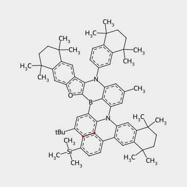 Cc1cc2c3c(c1)N(c1ccc4c(c1)C(C)(C)CCC4(C)C)c1c(oc4cc5c(cc14)C(C)(C)CCC5(C)C)B3c1cc(C(C)(C)C)ccc1N2c1cc2c(cc1-c1ccc([Si](C)(C)C)cc1)C(C)(C)CCC2(C)C